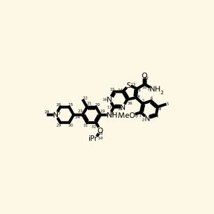 COc1ncc(C)cc1-c1c(C(N)=O)sc2cnc(Nc3cc(C)c(C4CCN(C)CC4)cc3OC(C)C)nc12